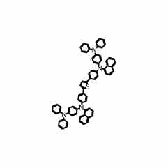 c1ccc(N(c2ccccc2)c2ccc(N(c3ccc(-c4ccc(-c5ccc(N(c6ccc(N(c7ccccc7)c7ccccc7)cc6)c6cccc7ccccc67)cc5)s4)cc3)c3cccc4ccccc34)cc2)cc1